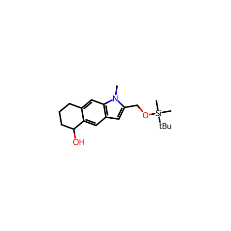 Cn1c(CO[Si](C)(C)C(C)(C)C)cc2cc3c(cc21)CCCC3O